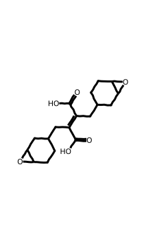 O=C(O)C(CC1CCC2OC2C1)=C(CC1CCC2OC2C1)C(=O)O